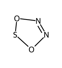 N1=NOSO1